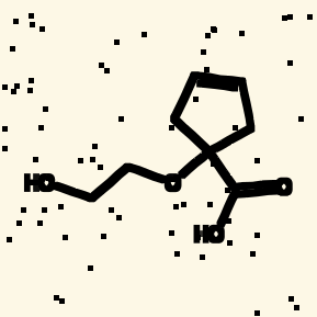 O=C(O)C1(OCCO)CC=CC1